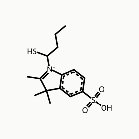 CCCC(S)[N+]1=C(C)C(C)(C)c2cc(S(=O)(=O)O)ccc21